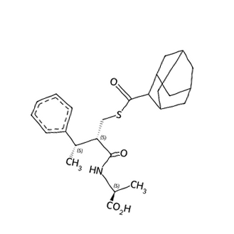 C[C@H](NC(=O)[C@@H](CSC(=O)C1C2CC3CC(C2)CC1C3)[C@H](C)c1ccccc1)C(=O)O